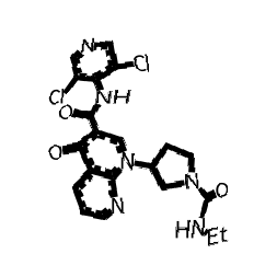 CCNC(=O)N1CCC(n2cc(C(=O)Nc3c(Cl)cncc3Cl)c(=O)c3cccnc32)C1